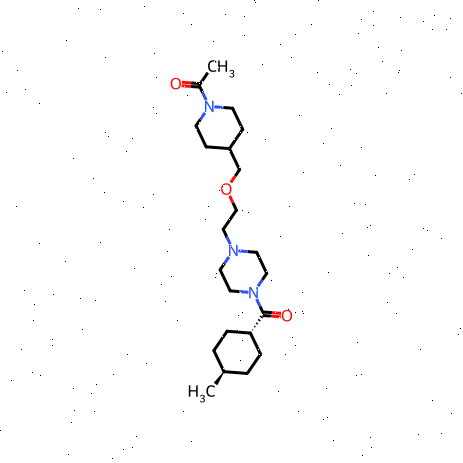 CC(=O)N1CCC(COCCN2CCN(C(=O)[C@H]3CC[C@H](C)CC3)CC2)CC1